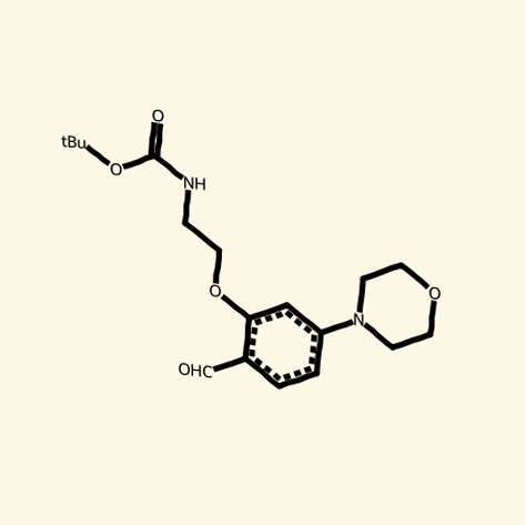 CC(C)(C)OC(=O)NCCOc1cc(N2CCOCC2)ccc1C=O